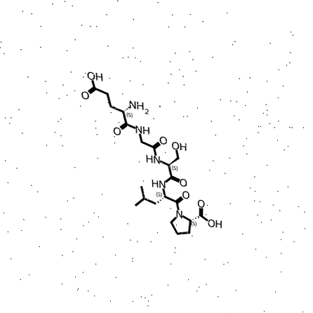 CC(C)C[C@H](NC(=O)[C@H](CO)NC(=O)CNC(=O)[C@@H](N)CCC(=O)O)C(=O)N1CCC[C@H]1C(=O)O